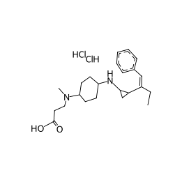 CCC(=Cc1ccccc1)C1CC1NC1CCC(N(C)CCC(=O)O)CC1.Cl.Cl